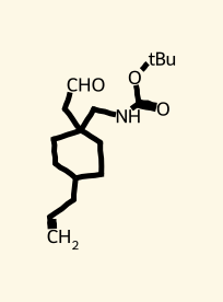 C=CCC1CCC(CC=O)(CNC(=O)OC(C)(C)C)CC1